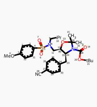 COc1ccc(S(=O)(=O)N(CC(C)C)C[C@H]2OC(C)(C)N(C(=O)OC(C)(C)C)[C@H]2Cc2ccc(C#N)cc2)cc1